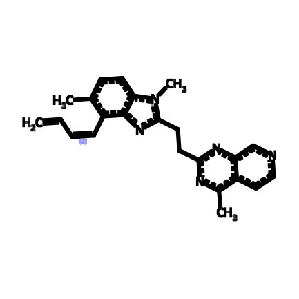 C=C/C=C\c1c(C)ccc2c1nc(CCc1nc(C)c3ccncc3n1)n2C